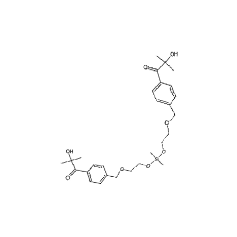 CC(C)(O)C(=O)c1ccc(COCCO[Si](C)(C)OCCOCc2ccc(C(=O)C(C)(C)O)cc2)cc1